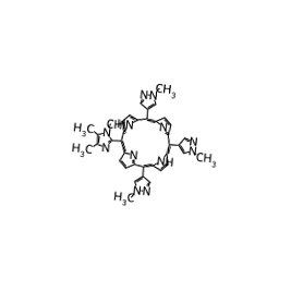 Cc1nc(-c2c3nc(c(-c4cnn(C)c4)c4ccc([nH]4)c(-c4cnn(C)c4)c4nc(c(-c5cnn(C)c5)c5ccc2[nH]5)C=C4)C=C3)n(C)c1C